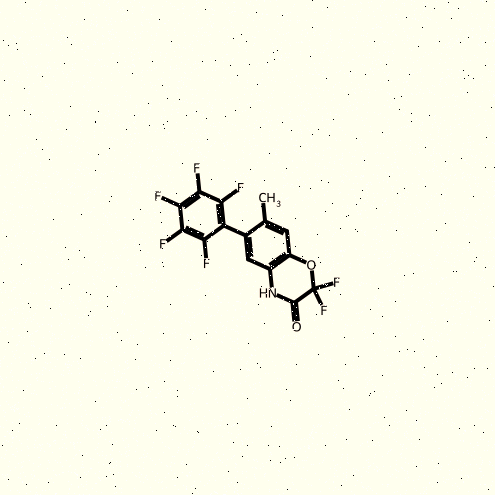 Cc1cc2c(cc1-c1c(F)c(F)c(F)c(F)c1F)NC(=O)C(F)(F)O2